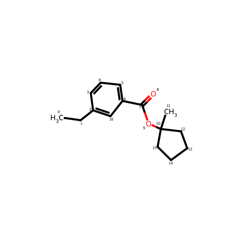 CCc1cccc(C(=O)OC2(C)CCCC2)c1